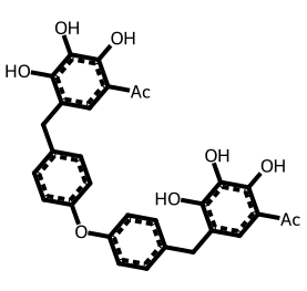 CC(=O)c1cc(Cc2ccc(Oc3ccc(Cc4cc(C(C)=O)c(O)c(O)c4O)cc3)cc2)c(O)c(O)c1O